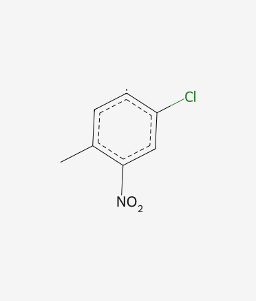 Cc1c[c]c(Cl)cc1[N+](=O)[O-]